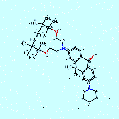 CC1(C)c2cc(N3CCCCC3)ccc2C(=O)c2ccc(N(CCO[Si](C)(C)C(C)(C)C)CCO[Si](C)(C)C(C)(C)C)cc21